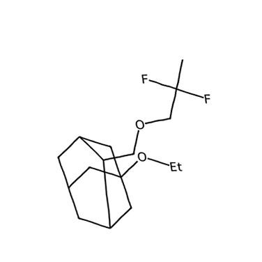 CCOC12CC3CC(C1)C(COCC(C)(F)F)C(C3)C2